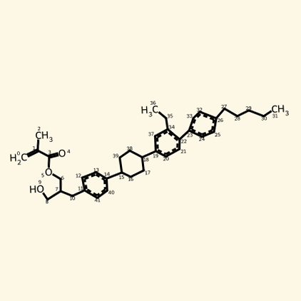 C=C(C)C(=O)OCC(CO)Cc1ccc(C2CCC(c3ccc(-c4ccc(CCCCC)cc4)c(CC)c3)CC2)cc1